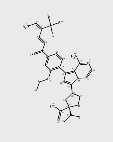 CCOc1cc(C(=O)C=C/C(=C\N)C(F)(F)F)ccc1-c1nc([C@H]2CC[C@@](C(=O)O)(C(C)C)C2)n2ccnc(N)c12